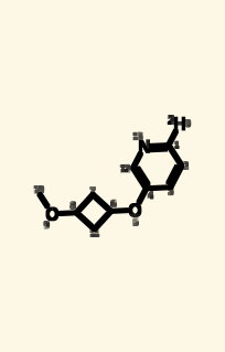 [2H]c1ccc(OC2CC(OC)C2)cn1